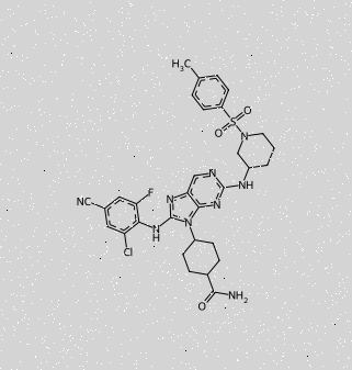 Cc1ccc(S(=O)(=O)N2CCCC(Nc3ncc4nc(Nc5c(F)cc(C#N)cc5Cl)n(C5CCC(C(N)=O)CC5)c4n3)C2)cc1